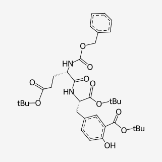 CC(C)(C)OC(=O)CC[C@H](NC(=O)OCc1ccccc1)C(=O)N[C@@H](Cc1ccc(O)c(C(=O)OC(C)(C)C)c1)C(=O)OC(C)(C)C